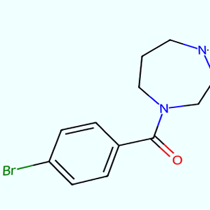 O=C(c1ccc(Br)cc1)N1CCC[N]CC1